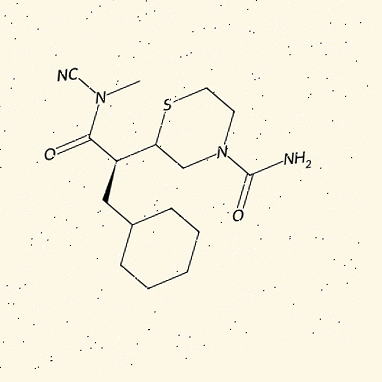 CN(C#N)C(=O)[C@H](CC1CCCCC1)C1CN(C(N)=O)CCS1